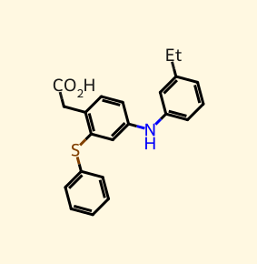 CCc1cccc(Nc2ccc(CC(=O)O)c(Sc3ccccc3)c2)c1